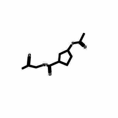 CC(=O)CNC(=O)C1CCC(SC(C)=O)C1